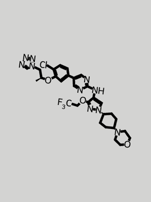 C[C@@H](Cn1cnnn1)Oc1cc(-c2cnc(Nc3cn([C@H]4CC[C@H](N5CCOCC5)CC4)nc3OCC(F)(F)F)nc2)ccc1Cl